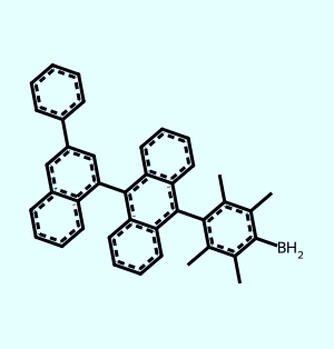 Bc1c(C)c(C)c(-c2c3ccccc3c(-c3cc(-c4ccccc4)cc4ccccc34)c3ccccc23)c(C)c1C